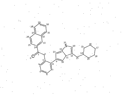 O=C(Cc1ccccc1C1=CC2C(CC3CCCCC3)=CSC2=C1)c1ccc2ccccc2c1